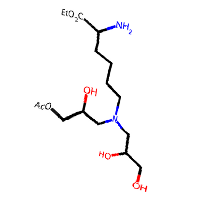 CCOC(=O)C(N)CCCCN(CC(O)CO)CC(O)COC(C)=O